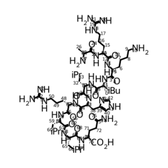 CC[C@H](C)[C@H](NC(=O)[C@H](CCCCN)NC(=O)[C@H](CCCNC(=N)N)NC(=O)[C@H](C)N)C(=O)N[C@@H](CC(C)C)C(=O)N[C@@H](Cc1c[nH]cn1)C(=O)N[C@@H](CCCNC(=N)N)C(=O)N[C@@H](CC(C)C)C(=O)N[C@@H](CC(C)C)C(=O)N[C@@H](CCC(N)=O)C(=O)O